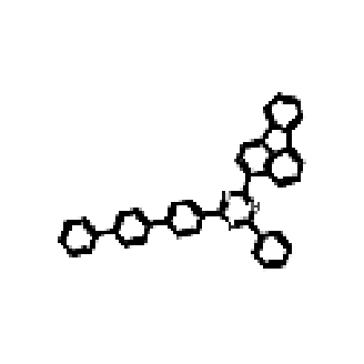 c1ccc(-c2ccc(-c3ccc(-c4nc(-c5ccccc5)nc(-c5ccc6c7c(cccc57)-c5ccccc5-6)n4)cc3)cc2)cc1